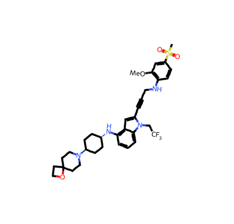 COc1cc(S(C)(=O)=O)ccc1NCC#Cc1cc2c(N[C@H]3CC[C@H](N4CCC5(CCO5)CC4)CC3)cccc2n1CC(F)(F)F